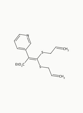 C=CCSC(SCC=C)=C(C(=O)OCC)c1cccnc1